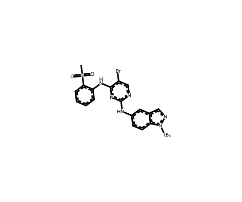 CC(C)(C)n1ncc2cc(Nc3ncc(Br)c(Nc4ccccc4S(C)(=O)=O)n3)ccc21